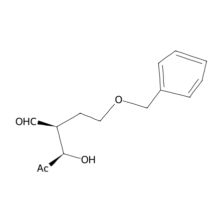 CC(=O)[C@H](O)[C@@H](C=O)CCOCc1ccccc1